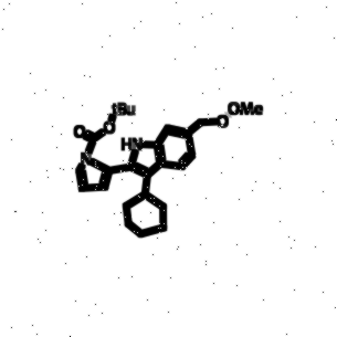 COOCc1ccc2c(C3CCCCC3)c(-c3cccn3C(=O)OC(C)(C)C)[nH]c2c1